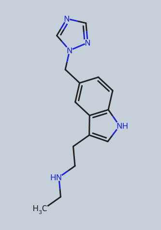 CCNCCc1c[nH]c2ccc(Cn3cncn3)cc12